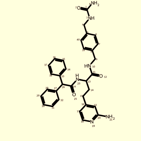 NC(=O)NCc1ccc(CNC(=O)C(CCc2ccnc(N)c2)NC(=O)C(c2ccccc2)c2ccccc2)cc1